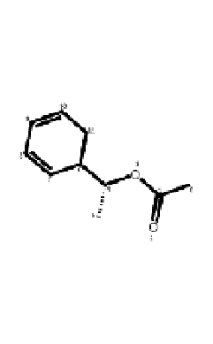 CC(=O)O[C@H](C)C1C=CC=[C]C1